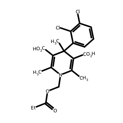 CCC(=O)OCN1C(C)=C(C(=O)O)C(C)(c2cccc(Cl)c2Cl)C(C(=O)O)=C1C